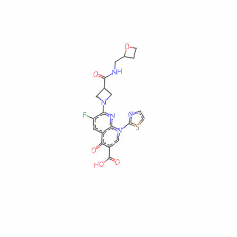 O=C(O)c1cn(-c2nccs2)c2nc(N3CC(C(=O)NCC4CCO4)C3)c(F)cc2c1=O